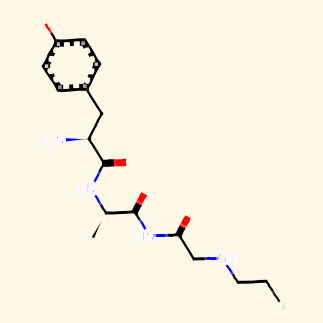 CC(C)CCNCC(=O)NC(=O)[C@@H](C)NC(=O)[C@@H](N)Cc1ccc(O)cc1